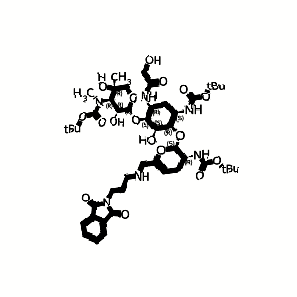 CN(C(=O)OC(C)(C)C)[C@@H]1[C@@H](O)[C@@H](O[C@@H]2[C@@H](O)[C@H](O[C@H]3OC(CNCCCN4C(=O)c5ccccc5C4=O)=CC[C@H]3NC(=O)OC(C)(C)C)[C@@H](NC(=O)OC(C)(C)C)C[C@H]2NC(=O)CO)OC[C@]1(C)O